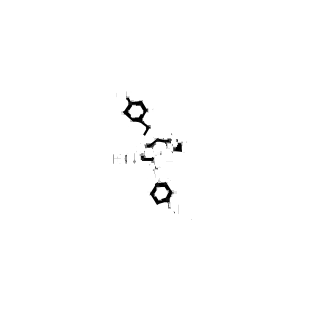 Cl.Cl.Nc1ccc(OC[C@H]2CO[C@@](CCc3ccc(Cl)cc3)(Cc3ncc[nH]3)O2)cc1